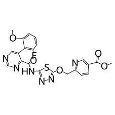 COC(=O)c1ccc(COc2nnc(NC(=O)c3ncncc3-c3c(F)cccc3OC)s2)nc1